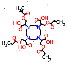 C=CC(=O)OCC(C(=O)O)N1CCN(C(COC(=O)C=C)C(=O)O)CCN(C(COC(=O)C=C)C(=O)O)CCN(C(COC(=O)C=C)C(=O)O)CC1